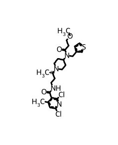 COCCC(=O)N(Cc1ccsc1)C1CCN([C@H](C)CCNC(=O)c2c(C)cc(Cl)nc2Cl)CC1